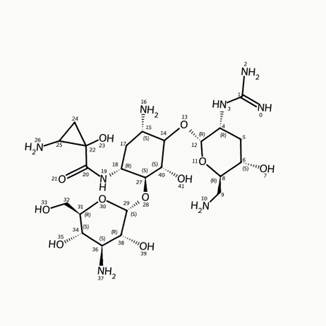 N=C(N)N[C@@H]1C[C@H](O)[C@@H](CN)O[C@@H]1OC1[C@@H](N)C[C@@H](NC(=O)C2(O)CC2N)[C@H](O[C@H]2O[C@H](CO)[C@@H](O)[C@H](N)[C@H]2O)[C@H]1O